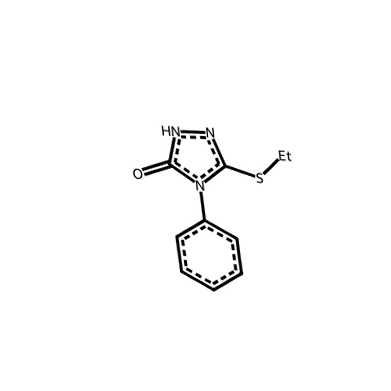 CCSc1n[nH]c(=O)n1-c1ccccc1